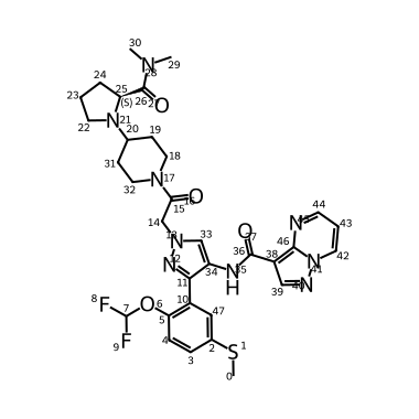 CSc1ccc(OC(F)F)c(-c2nn(CC(=O)N3CCC(N4CCC[C@H]4C(=O)N(C)C)CC3)cc2NC(=O)c2cnn3cccnc23)c1